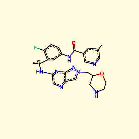 Cc1cncc(C(=O)Nc2ccc(F)c([C@H](C)Nc3cnc4cn(CC5CNCCO5)nc4n3)c2)c1